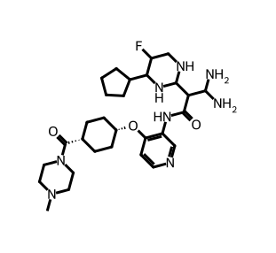 CN1CCN(C(=O)[C@H]2CC[C@@H](Oc3ccncc3NC(=O)C(C(N)N)C3NCC(F)C(C4CCCC4)N3)CC2)CC1